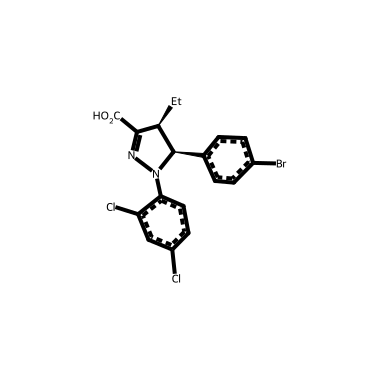 CC[C@@H]1C(C(=O)O)=NN(c2ccc(Cl)cc2Cl)[C@@H]1c1ccc(Br)cc1